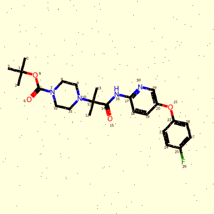 CC(C)(C)OC(=O)N1CCN(C(C)(C)C(=O)Nc2ccc(Oc3ccc(F)cc3)cn2)CC1